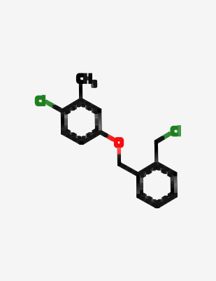 Cc1cc(OCc2ccccc2CCl)ccc1Cl